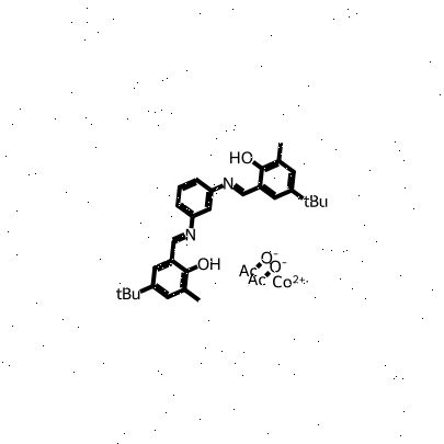 CC(=O)[O-].CC(=O)[O-].Cc1cc(C(C)(C)C)cc(C=Nc2cccc(N=Cc3cc(C(C)(C)C)cc(C)c3O)c2)c1O.[Co+2]